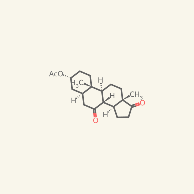 CC(=O)O[C@@H]1CC[C@@]2(C)[C@@H](CC(=O)[C@@H]3[C@@H]2CC[C@]2(C)C(=O)CC[C@@H]32)C1